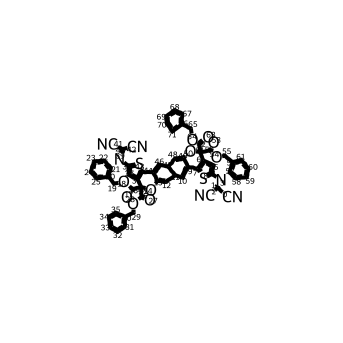 N#CC(C#N)=Nc1cc2c(s1)C1=CC3C=C4OC(C(=O)OCc5ccccc5)(C(=O)OCc5ccccc5)c5cc(N=C(C#N)C#N)sc5C4=CC3C=C1OC2(C(=O)OCc1ccccc1)C(=O)OCc1ccccc1